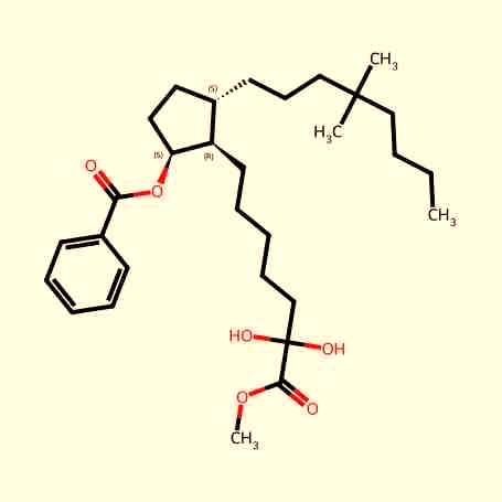 CCCCC(C)(C)CCC[C@H]1CC[C@H](OC(=O)c2ccccc2)[C@@H]1CCCCCC(O)(O)C(=O)OC